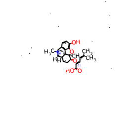 CC(C)=C/C=C/C(=O)O.CN1CC[C@]23c4c5ccc(O)c4O[C@@]2(C)C(=O)CC[C@H]3[C@H]1C5